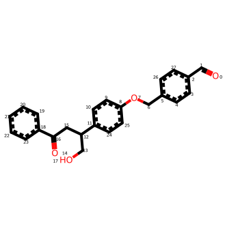 O=Cc1ccc(COc2ccc(C(CO)CC(=O)c3ccccc3)cc2)cc1